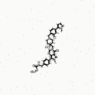 Cn1nccc1-c1ccc(CN2CCC(O)(Cn3cnc4c(-c5ccc(CNC(=O)OC(C)(C)C)cc5)n(C)nc4c3=O)CC2)c(Cl)c1